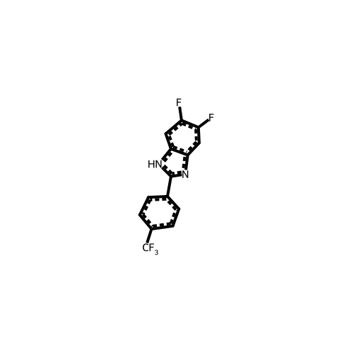 Fc1cc2nc(-c3ccc(C(F)(F)F)cc3)[nH]c2cc1F